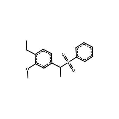 CCc1ccc(C(C)S(=O)(=O)c2ccccc2)cc1OC